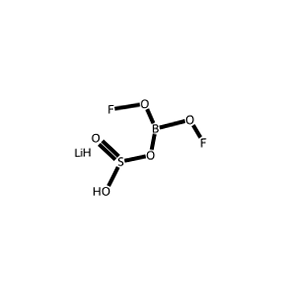 O=S(O)OB(OF)OF.[LiH]